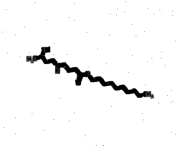 CCCCCCCCCCOC(=O)CCCNCCC(C)O